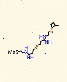 CSCCNC(=N)CCSSCCC(=N)NCCSC1CCC1C